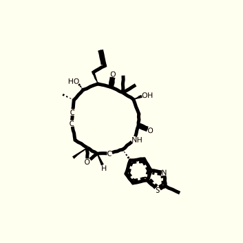 C=CC[C@H]1C(=O)C(C)(C)[C@@H](O)CC(=O)N[C@H](c2ccc3sc(C)nc3c2)C[C@@H]2O[C@]2(C)CCC[C@H](C)[C@@H]1O